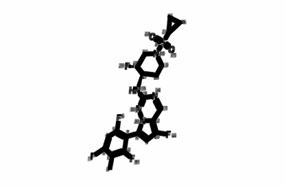 Cc1c(F)cc(F)c(-c2cc(F)c3cnc(N[C@@H]4CCN(S(=O)(=O)C5CC5)C[C@H]4F)nn23)c1F